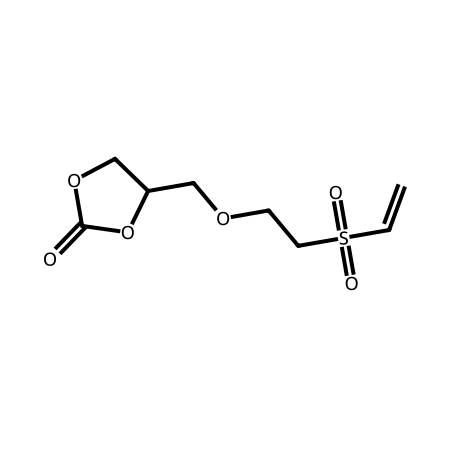 C=CS(=O)(=O)CCOCC1COC(=O)O1